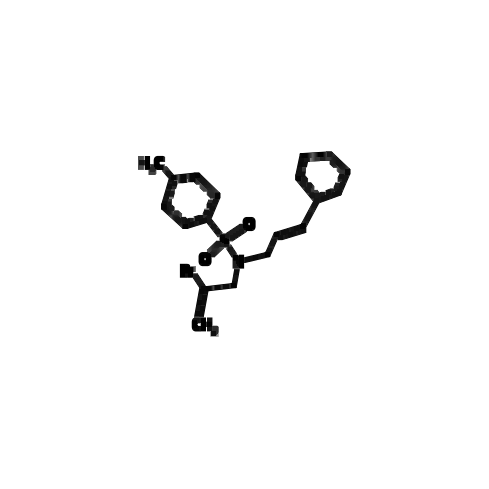 C=C(Br)CN(CC=Cc1ccccc1)S(=O)(=O)c1ccc(C)cc1